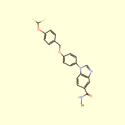 CC(C)NC(=O)c1ccc2c(c1)ncn2-c1ccc(OCc2ccc(OC(F)F)cc2)cc1